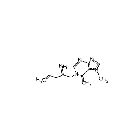 C=CCC(=N)CN1C=Nc2ncn(C)c2C1=C